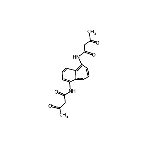 CC(=O)CC(=O)Nc1cccc2c(NC(=O)CC(C)=O)cccc12